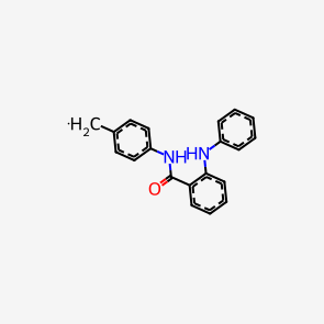 [CH2]c1ccc(NC(=O)c2ccccc2Nc2ccccc2)cc1